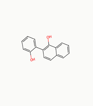 Oc1ccccc1-c1ccc2ccccc2c1O